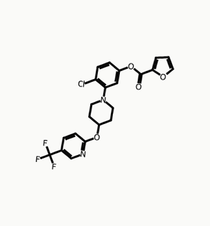 O=C(Oc1ccc(Cl)c(N2CCC(Oc3ccc(C(F)(F)F)cn3)CC2)c1)c1ccco1